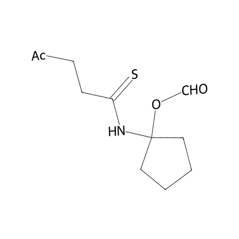 CC(=O)CCC(=S)NC1(OC=O)CCCC1